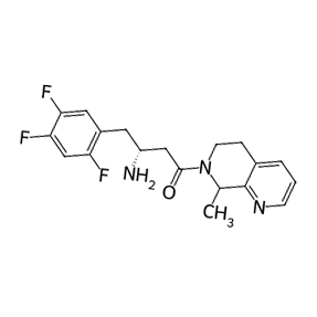 CC1c2ncccc2CCN1C(=O)C[C@H](N)Cc1cc(F)c(F)cc1F